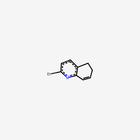 CCc1ccc2c(n1)C=CCC2